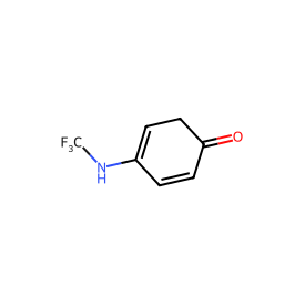 O=C1C=CC(NC(F)(F)F)=CC1